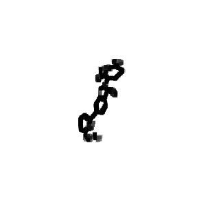 Nc1cccc(-c2ccc3c(c2)CN(C2CCC(=O)NC2=O)C3=O)n1